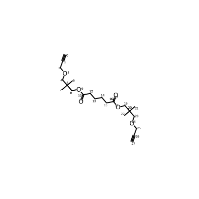 C#CCOCC(C)(C)COC(=O)CCCCC(=O)OCC(C)(C)COCC#C